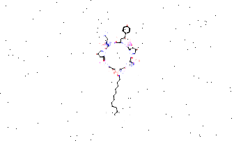 CC[C@H](C)C[C@H](C)CCCCCCCCC(=O)N[C@H]1C[C@@H](O)[C@@H](O)NC(=O)[C@@H]2C[C@@H](O)CN2C(=O)[C@H]([C@H](O)CCN)NC(=O)[C@H]([C@H](O)[C@@H](O)c2ccc(O)cc2)NC(=O)[C@@H]2C[C@@H](O)CN2C(=O)[C@H]([C@@H](C)O)NC1=O